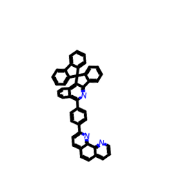 c1ccc2c(c1)-c1ccccc1C21c2ccccc2-c2nc(-c3ccc(-c4ccc5ccc6cccnc6c5n4)cc3)c3ccccc3c21